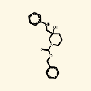 O=C(OCc1ccccc1)N1CCCC(O)(CNc2ccccc2)C1